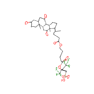 CC(CCC(=O)OCCCC(=O)OC(CS(=O)(=O)O)(C(F)(F)F)C(F)(F)F)C1CCC2C3C(=O)CC4CC(=O)CCC4(C)C3CC(=O)C12C